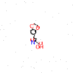 O=C(O)c1cc(-c2ccc3c(c2)OCCO3)on1